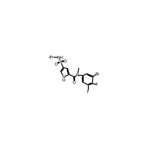 CC(C)NS(=O)(=O)c1c[nH]c(C(=O)N(C)c2cc(F)c(F)c(Br)c2)c1